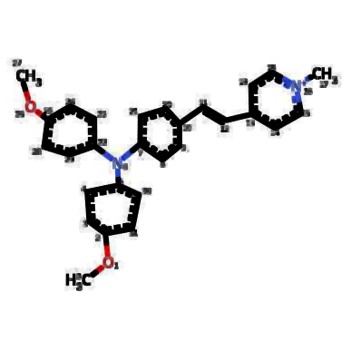 COc1ccc(N(c2ccc(C=Cc3cc[n+](C)cc3)cc2)c2ccc(OC)cc2)cc1